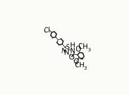 COc1cccc(OC)c1C(=O)Nc1nnc(-c2ccc(-c3ccc(Cl)cc3)cc2)s1